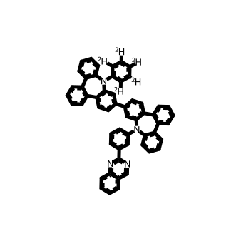 [2H]c1c([2H])c([2H])c(N2c3ccccc3-c3ccccc3-c3ccc(-c4ccc5c(c4)N(c4cccc(-c6ncc7ccccc7n6)c4)c4ccccc4-c4ccccc4-5)cc32)c([2H])c1[2H]